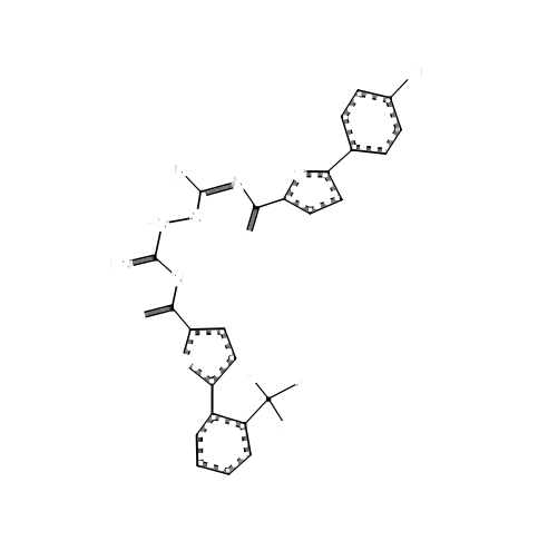 Cc1ccc(-c2ccc(C(=O)N=C(N)NNC(=N)NC(=O)c3ccc(-c4ccccc4C(F)(F)F)o3)o2)cc1